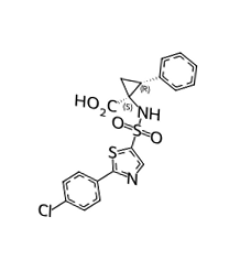 O=C(O)[C@]1(NS(=O)(=O)c2cnc(-c3ccc(Cl)cc3)s2)C[C@@H]1c1ccccc1